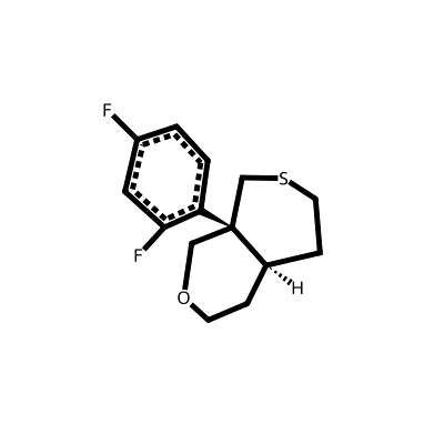 Fc1ccc([C@]23COCC[C@@H]2CCSC3)c(F)c1